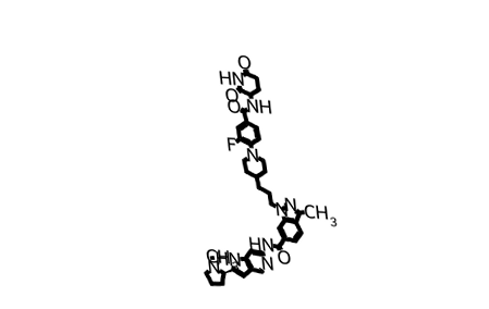 Cc1nn(CCCC2CCN(c3ccc(C(=O)NC4CCC(=O)NC4=O)cc3F)CC2)c2cc(C(=O)Nc3cc4[nH]c([C@H]5CCCN5C)cc4cn3)ccc12